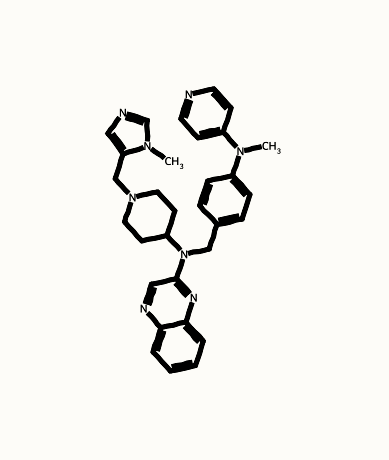 CN(c1ccncc1)c1ccc(CN(c2cnc3ccccc3n2)C2CCN(Cc3cncn3C)CC2)cc1